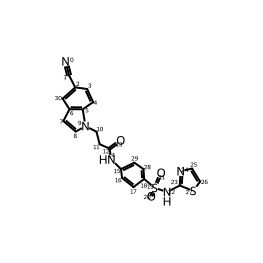 N#Cc1ccc2c(ccn2CCC(=O)Nc2ccc(S(=O)(=O)Nc3nccs3)cc2)c1